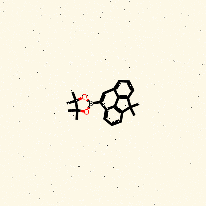 CC1(C)c2cccc3cc(B4OC(C)(C)C(C)(C)O4)c4cccc1c4c23